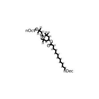 CCCCCCCCCCCCCCCCCCCCCC(=O)OC1CC(C)(C)N(OCC(C)(C)OCCCCCCCC)C(C)(C)C1